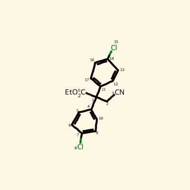 CCOC(=O)C(CC#N)(c1ccc(Cl)cc1)c1ccc(Cl)cc1